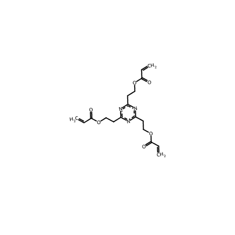 C=CC(=O)OCCc1nc(CCOC(=O)C=C)nc(CCOC(=O)C=C)n1